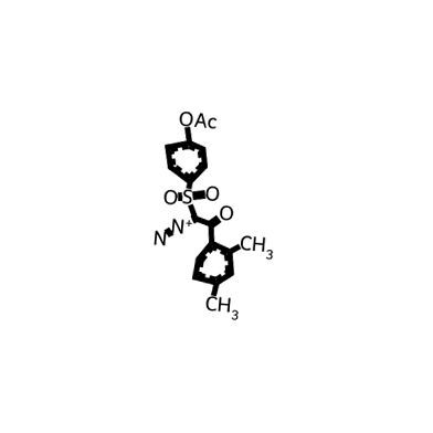 CC(=O)Oc1ccc(S(=O)(=O)C(=[N+]=[N-])C(=O)c2ccc(C)cc2C)cc1